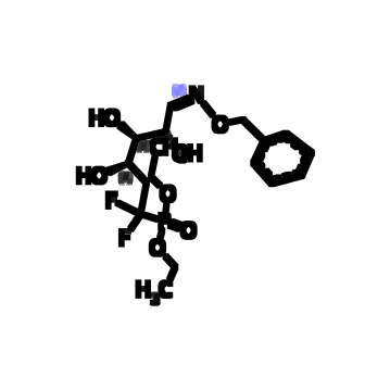 CCOP(=O)(OCC)C(F)(F)C[C@@H](O)[C@@H](O)[C@@H](O)/C=N\OCc1ccccc1